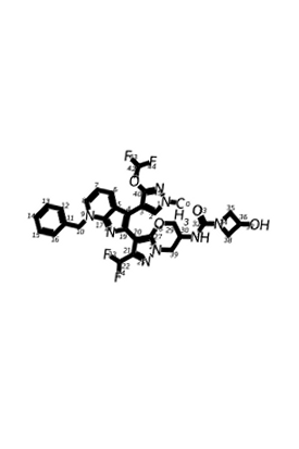 Cn1cc(-c2c3cccn(Cc4ccccc4)c-3nc2-c2c(C(F)F)nn3c2OCC(NC(=O)N2CC(O)C2)C3)c(OC(F)F)n1